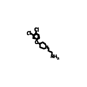 NCCCN1CCC(Oc2ccc(Cl)c(Cl)c2)CC1